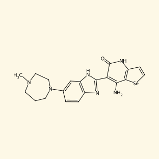 CN1CCCN(c2ccc3nc(-c4c(N)c5[se]ccc5[nH]c4=O)[nH]c3c2)CC1